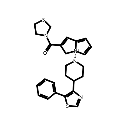 O=C(C1=CC2=CC=C[N@@+]2(N2CCC(c3ncsc3-c3ccccc3)CC2)C1)N1CCSC1